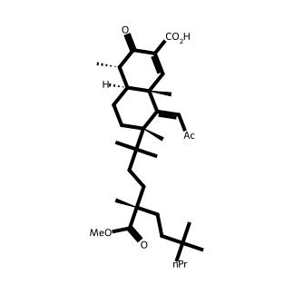 CCCC(C)(C)CC[C@@](C)(CCC(C)(C)[C@]1(C)CC[C@H]2[C@H](C)C(=O)C(C(=O)O)=C[C@]2(C)/C1=C/C(C)=O)C(=O)OC